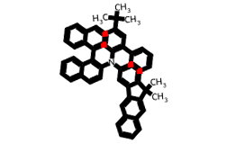 CC(C)(C)c1ccc(N(c2ccc3c(c2)-c2cc4ccccc4cc2C3(C)C)c2ccc3ccccc3c2-c2cccc3ccccc23)c(-c2ccccc2)c1